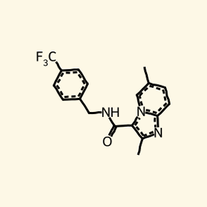 Cc1ccc2nc(C)c(C(=O)NCc3ccc(C(F)(F)F)cc3)n2c1